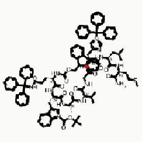 CSCC[C@H](NC(=O)[C@H](CC(C)C)NC(=O)[C@H](Cc1cn(C(c2ccccc2)(c2ccccc2)c2ccccc2)cn1)NC(=O)CNC(=O)[C@@H](NC(=O)[C@H](C)NC(=O)[C@H](Cc1cn(C(=O)OC(C)(C)C)c2ccccc12)NC(=O)[C@H](CCC(=O)NC(c1ccccc1)(c1ccccc1)c1ccccc1)NC(=O)OCC1c2ccccc2-c2ccccc21)C(C)C)C(N)=O